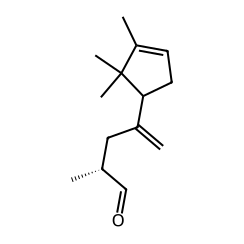 C=C(C[C@@H](C)C=O)C1CC=C(C)C1(C)C